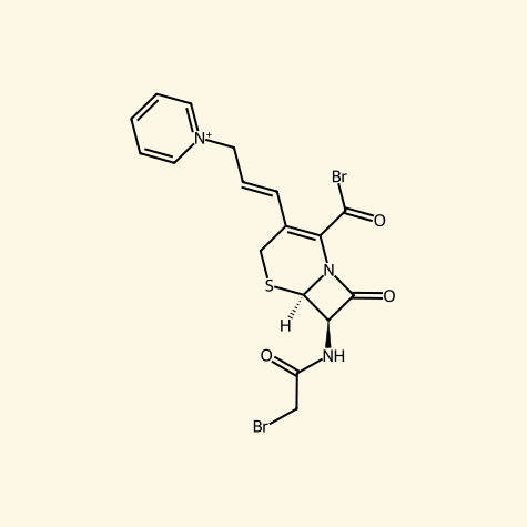 O=C(CBr)N[C@@H]1C(=O)N2C(C(=O)Br)=C(/C=C/C[n+]3ccccc3)CS[C@H]12